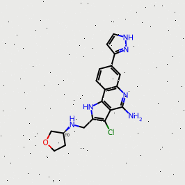 Nc1nc2cc(-c3cc[nH]n3)ccc2c2[nH]c(CN[C@H]3CCOC3)c(Cl)c12